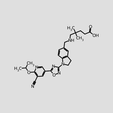 CC(C)Oc1ncc(-c2nc(N3CCc4cc(CNCC(C)(C)CCC(=O)O)ccc43)no2)cc1C#N